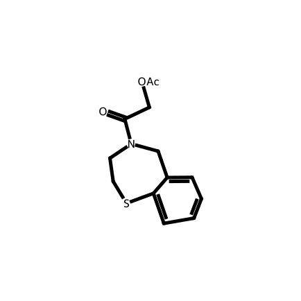 CC(=O)OCC(=O)N1CCSc2ccccc2C1